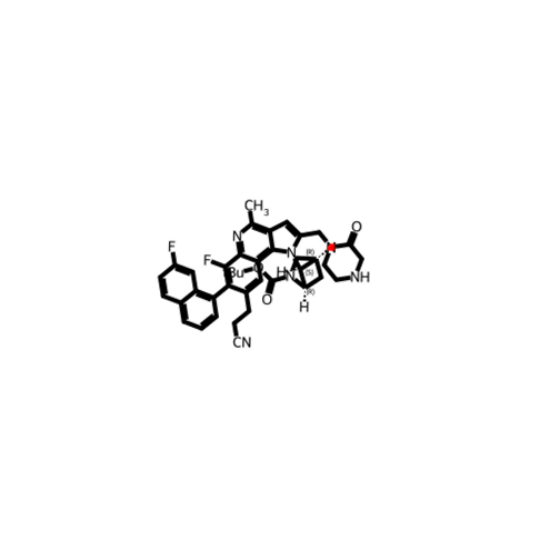 Cc1nc2c(F)c(-c3cccc4ccc(F)cc34)c(CCC#N)cc2c2c1cc(CN1CCNCC1=O)n2[C@H]1[C@@H]2C[C@H]1N(C(=O)OC(C)(C)C)C2